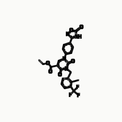 CCOC(=O)c1cn(-c2ccc(-c3noc(=O)[nH]3)cc2)c(=O)n(Cc2cccc(C(F)(F)F)c2C)c1=O